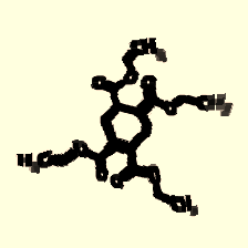 CCOC(=O)C1CC(C(=O)OCC)C(C(=O)OCC)CC1C(=O)OCC